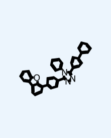 c1ccc(-c2ccc(-c3nnc(-c4ccc(-c5cccc6c5oc5ccccc56)cc4)n3-c3ccccc3)cc2)cc1